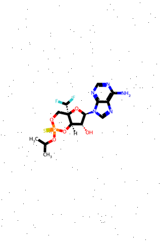 CC(C)OP1(=S)OC[C@@]2(C(F)F)O[C@@H](n3cnc4c(N)ncnc43)[C@H](O)[C@H]2O1